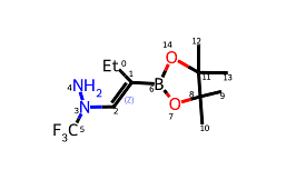 CC/C(=C\N(N)C(F)(F)F)B1OC(C)(C)C(C)(C)O1